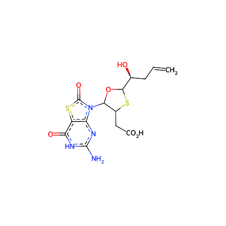 C=CC[C@H](O)C1OC(n2c(=O)sc3c(=O)[nH]c(N)nc32)C(CC(=O)O)S1